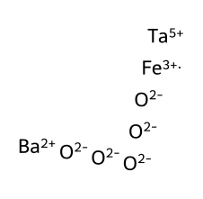 [Ba+2].[Fe+3].[O-2].[O-2].[O-2].[O-2].[O-2].[Ta+5]